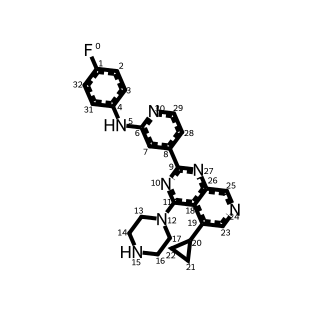 Fc1ccc(Nc2cc(-c3nc(N4CCNCC4)c4c(C5CC5)cncc4n3)ccn2)cc1